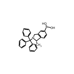 C[C@@H]1c2ccc(B(O)O)cc2CN1C(c1ccccc1)(c1ccccc1)c1ccccc1